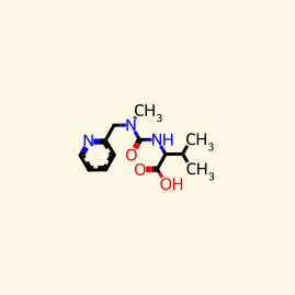 CC(C)C(NC(=O)N(C)Cc1ccccn1)C(=O)O